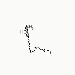 CCCCCC1CC1CC1CC1CCCCCCCCOCC(O)COC